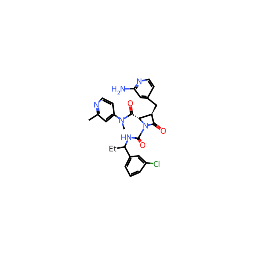 CCC(NC(=O)N1C(=O)[C@H](Cc2ccnc(N)c2)[C@H]1C(=O)N(C)c1ccnc(C)c1)c1cccc(Cl)c1